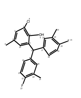 Cc1cc(Cl)c(O)c(C(c2ccc(F)c(C)c2)c2ccc(F)c(C)c2)c1